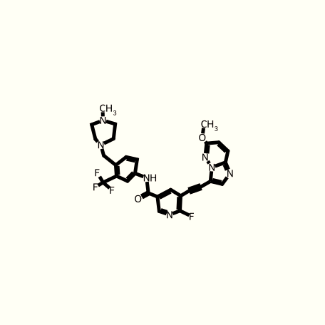 COc1ccc2ncc(C#Cc3cc(C(=O)Nc4ccc(CN5CCN(C)CC5)c(C(F)(F)F)c4)cnc3F)n2n1